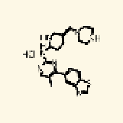 Cc1cnc(NC2CCC(=CN3CCNCC3)CN2)nc1-c1ccc2scnc2c1.Cl